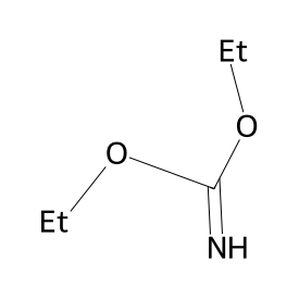 CCOC(=N)OCC